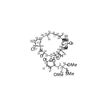 COCC(CCC(=O)N(C)[C@H](C)C(=O)OC1CC(=O)N(C)c2cc(cc(C)c2Cl)C/C(C)=C/C=C/[C@@H](C)[C@@]2(O)C[C@H](OC(=O)N2)[C@@H](C)[C@@H]2O[C@@]12C)(COC)SSC